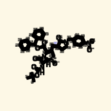 CC(C)(C)OC(=O)N[C@@H]1C(=O)N2C(C(=O)OC(c3ccccc3)c3ccccc3)=C(/C=C3\CCN(Cc4ccc([N+](=O)[O-])cc4)C3=O)C[S+]([O-])[C@H]12